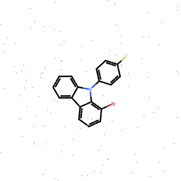 Fc1ccc(-n2c3ccccc3c3cccc(Br)c32)cc1